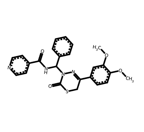 COc1ccc(C2=NN(C(NC(=O)c3ccncc3)c3ccccc3)C(=O)SC2)cc1OC